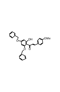 COc1ccc(C=CC(=O)c2c(O)cc(OCc3ccccc3)cc2OCc2ccccc2)cc1